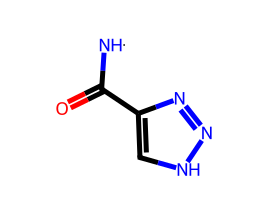 [NH]C(=O)c1c[nH]nn1